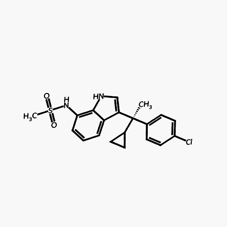 C[C@@](c1ccc(Cl)cc1)(c1c[nH]c2c(NS(C)(=O)=O)cccc12)C1CC1